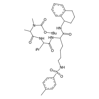 Cc1ccc(S(=O)(=O)NCCCCC(NC(=O)C(NC(=O)C(C)N(C)C(=O)OC(C)(C)C)C(C)C)C(=O)NC2CCCc3ccccc32)cc1